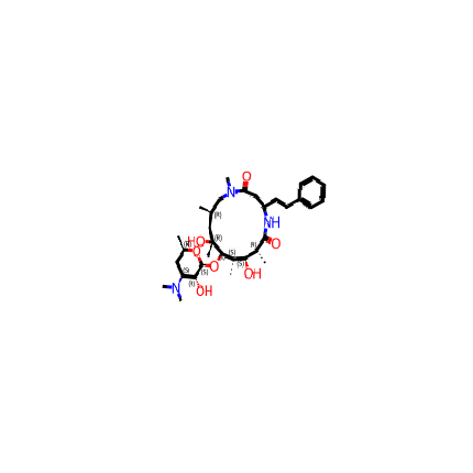 C[C@H]1CN(C)C(=O)CC(CCc2ccccc2)NC(=O)[C@H](C)[C@@H](O)[C@H](C)[C@@H](O[C@@H]2O[C@H](C)C[C@H](N(C)C)[C@H]2O)[C@](C)(O)C1